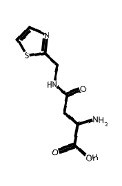 NC(CC(=O)NCc1nccs1)C(=O)O